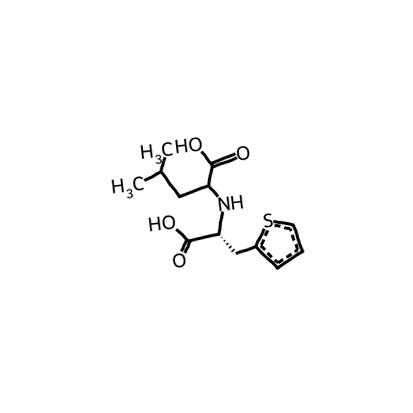 CC(C)CC(N[C@H](Cc1cccs1)C(=O)O)C(=O)O